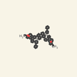 C=Cc1ccc(CC2(C3=CC=CCC3)c3ccccc3-c3ccc(N(c4ccc(-c5ccccc5)cc4)c4ccc(-c5ccc(N(c6ccc(-c7ccccc7)cc6)c6ccc7c(c6)C(Cc6ccc(C=C)cc6)(c6ccccc6)c6ccccc6-7)c6ccccc56)c5ccccc45)cc32)cc1